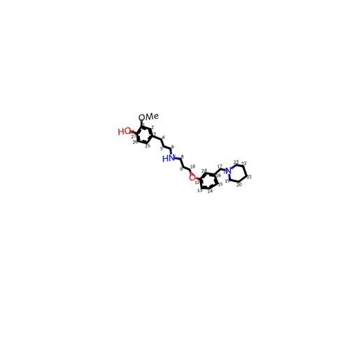 COc1cc(CCCNCCCOc2cccc(CN3CCCCC3)c2)ccc1O